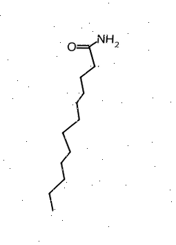 CCCCCCCCCC[CH]C(N)=O